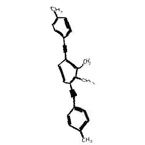 Cc1ccc(C#Cc2ccc(C#Cc3ccc(C)cc3)c(C)c2C)cc1